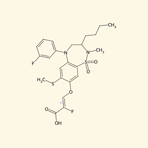 CCCCC1CN(c2cccc(F)c2)c2cc(SC)c(O/C=C(\F)C(=O)O)cc2S(=O)(=O)N1C